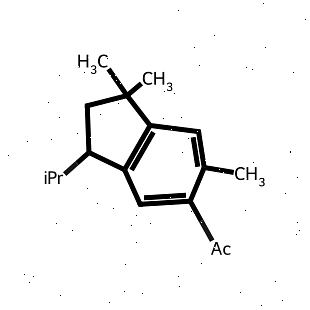 CC(=O)c1cc2c(cc1C)C(C)(C)CC2C(C)C